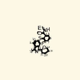 CCNC(=O)c1cccc(F)c1Sc1ccc2c(I)nn(C3CCCCO3)c2c1